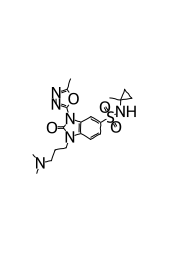 Cc1nnc(-n2c(=O)n(CCCN(C)C)c3ccc(S(=O)(=O)NC4(C)CC4)cc32)o1